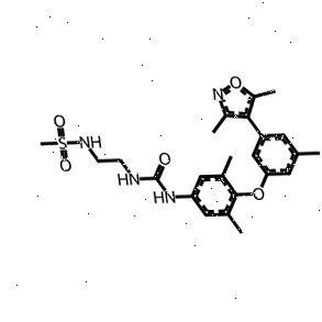 Cc1cc(Oc2c(C)cc(NC(=O)NCCNS(C)(=O)=O)cc2C)cc(-c2c(C)noc2C)c1